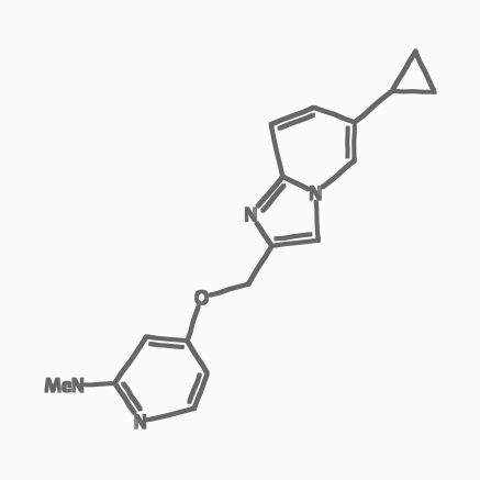 CNc1cc(OCc2cn3cc(C4CC4)ccc3n2)ccn1